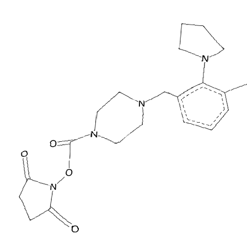 O=C(ON1C(=O)CCC1=O)N1CCN(Cc2cccc(Cl)c2N2CCCC2)CC1